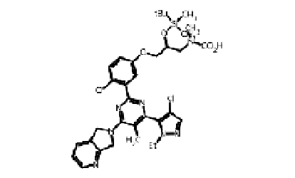 CCn1ncc(Cl)c1-c1nc(-c2cc(OCC(CN(C)C(=O)O)O[Si](C)(C)C(C)(C)C)ccc2Cl)nc(N2Cc3cccnc3C2)c1C